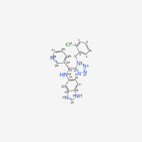 Clc1ccccc1Cn1nnnc1C(Nc1ccc2[nH]cnc2c1)c1cccnc1